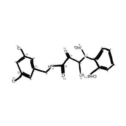 COc1ccccc1N(C=O)C(C)C(=O)C(=O)NCc1cc(Cl)cc(Cl)c1